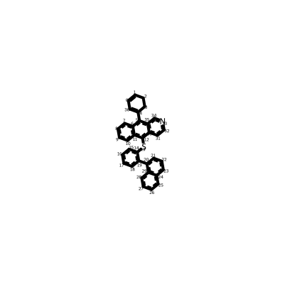 C1=CCCC(c2c3ccccc3c(Sc3ccccc3-c3cccc4ccccc34)c3ccncc23)=C1